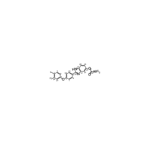 Cc1ccc(Oc2ccc(-c3nc4cc(OC(N)=O)ccc4[nH]3)cc2)cc1C